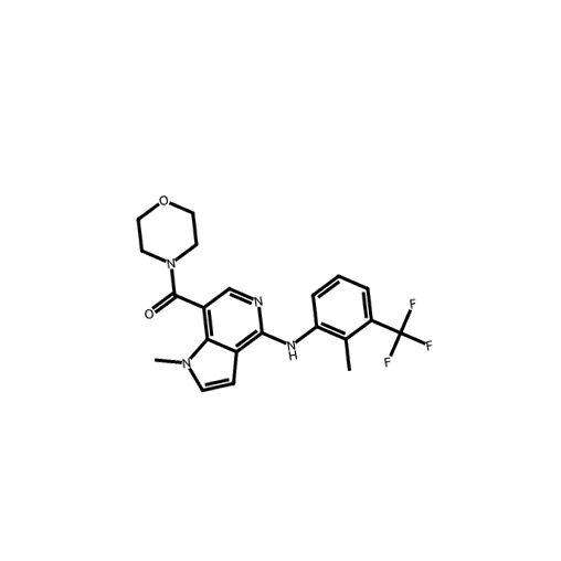 Cc1c(Nc2ncc(C(=O)N3CCOCC3)c3c2ccn3C)cccc1C(F)(F)F